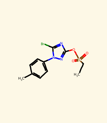 CCS(=O)(=O)Oc1nc(Br)n(-c2ccc(C)cc2)n1